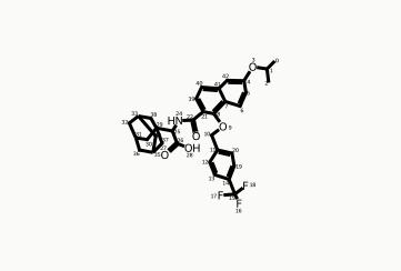 CC(C)Oc1ccc2c(OCc3ccc(C(F)(F)F)cc3)c(C(=O)NC(C(=O)O)C34CC5CC(CC(C5)C3)C4)ccc2c1